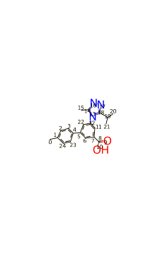 Cc1ccc(-c2cc(C(=O)O)cc(-n3c(C)nnc3C(C)C)c2)cc1